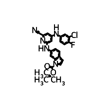 CC(C)(C)OC(=O)n1ccc2ccc(Nc3cc(Nc4ccc(F)c(Cl)c4)cc(C#N)n3)cc21